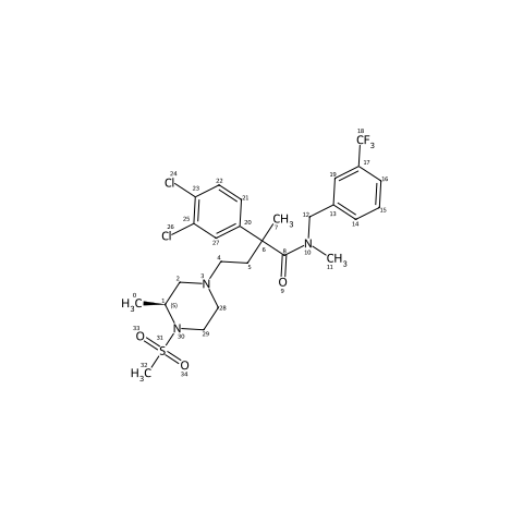 C[C@H]1CN(CCC(C)(C(=O)N(C)Cc2cccc(C(F)(F)F)c2)c2ccc(Cl)c(Cl)c2)CCN1S(C)(=O)=O